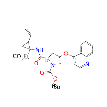 C=CC1CC1(NC(=O)[C@@H]1CC(Oc2ccnc3ccccc23)CN1C(=O)OC(C)(C)C)C(=O)OCC